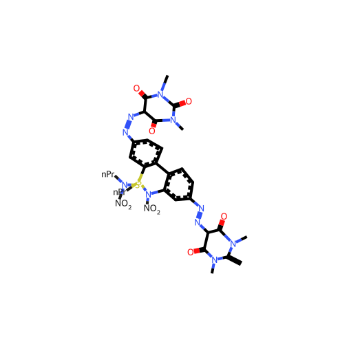 C=C1N(C)C(=O)C(N=Nc2ccc(-c3ccc(/N=N\C4C(=O)N(C)C(=O)N(C)C4=O)cc3SN(CCC)[N+](=O)[O-])c(N(SCCC)[N+](=O)[O-])c2)C(=O)N1C